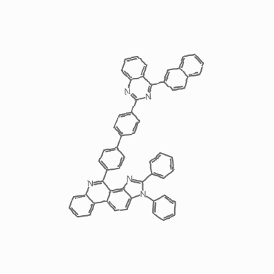 c1ccc(-c2nc3c4c(-c5ccc(-c6ccc(-c7nc(-c8ccc9ccccc9c8)c8ccccc8n7)cc6)cc5)nc5ccccc5c4ccc3n2-c2ccccc2)cc1